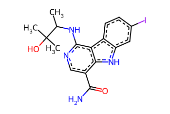 CC(Nc1ncc(C(N)=O)c2[nH]c3cc(I)ccc3c12)C(C)(C)O